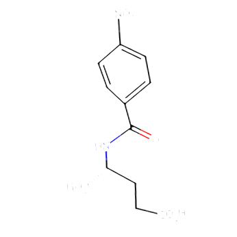 O=C(O)CC[C@@H](NC(=O)c1ccc([N+](=O)[O-])cc1)C(=O)O